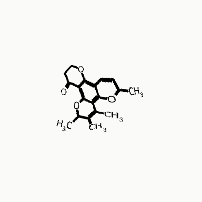 CC1=C(C)C(C)Oc2c3c(c4c(c21)OC(C)C=C4)OCCC3=O